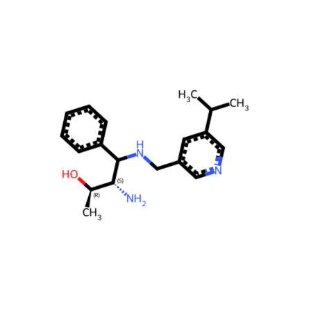 CC(C)c1cncc(CNC(c2ccccc2)[C@H](N)[C@@H](C)O)c1